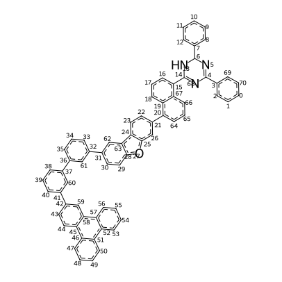 c1ccc(C2=NC(c3ccccc3)NC(c3cccc4c(-c5ccc6c(c5)oc5ccc(-c7cccc(-c8cccc(-c9ccc%10c%11ccccc%11c%11ccccc%11c%10c9)c8)c7)cc56)cccc34)=N2)cc1